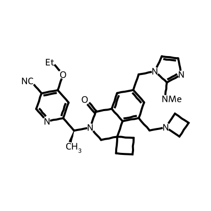 CCOc1cc([C@H](C)N2CC3(CCC3)c3c(CN4CCC4)cc(Cn4ccnc4NC)cc3C2=O)ncc1C#N